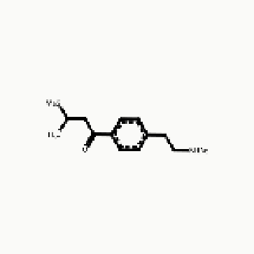 CSC(C)CC(=O)c1ccc(CCNC(C)=O)cc1